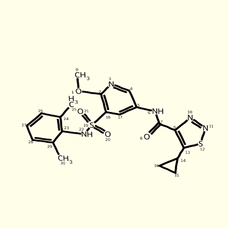 COc1ncc(NC(=O)c2nnsc2C2CC2)cc1S(=O)(=O)Nc1c(C)cccc1C